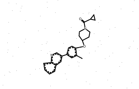 Cc1cc(-c2cnc3ccccc3c2)ccc1OC1CCN(C(=O)C2CC2)CC1